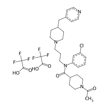 CC(=O)N1CCC(C(=O)N(CCCN2CCC(Cc3ccncc3)CC2)c2cccc(Cl)c2)CC1.O=C(O)C(F)(F)F.O=C(O)C(F)(F)F